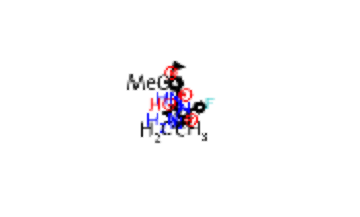 C=CN(N)[C@@]1(C)COc2c1cc(C(O)(CNC(=O)c1ccc(OC3CC3)c(OC)c1)C1CC1)nc2-c1ccc(F)cc1